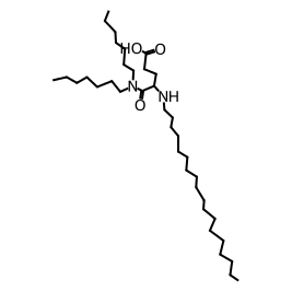 CCCCCCCCCCCCCCCCCCNC(CCC(=O)O)C(=O)N(CCCCCCC)CCCCCCC